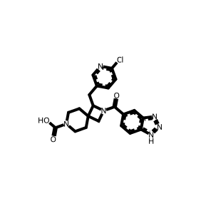 O=C(O)N1CCC2(CC1)CN(C(=O)c1ccc3[nH]nnc3c1)C2Cc1ccc(Cl)nc1